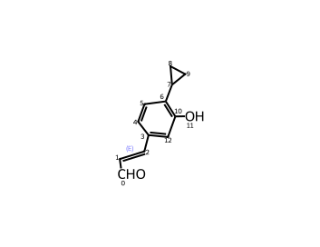 O=C/C=C/c1ccc(C2CC2)c(O)c1